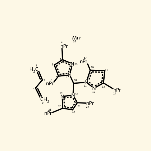 C=CC=C.CCCc1cc(CCC)n(C(n2nc(CCC)cc2CCC)n2nc(CCC)cc2CCC)n1.[Mn]